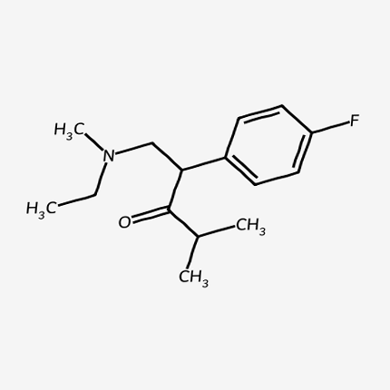 CCN(C)CC(C(=O)C(C)C)c1ccc(F)cc1